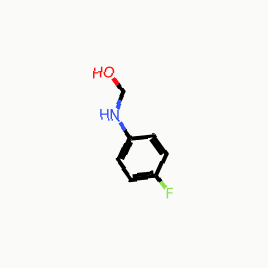 OCNc1ccc(F)cc1